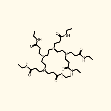 CCNC(=O)CCN(CCC(=O)NCC)CCN(CCC(=O)NCC)CCN(CCC(=O)NCC)CCN(CCC(=O)NCC)CCC(=O)NCC